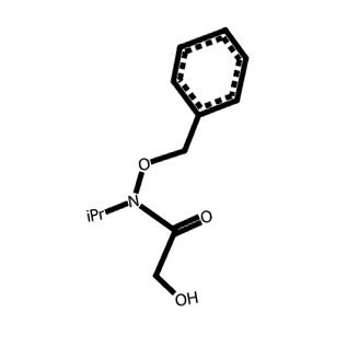 CC(C)N(OCc1ccccc1)C(=O)CO